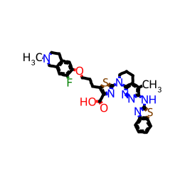 Cc1c(Nc2nc3ccccc3s2)nnc2c1CCCN2c1nc(C(=O)O)c(CCCOc2cc3c(cc2F)CN(C)CC3)s1